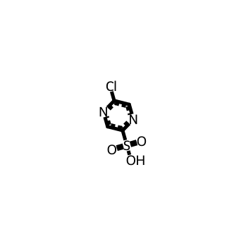 O=S(=O)(O)c1cnc(Cl)cn1